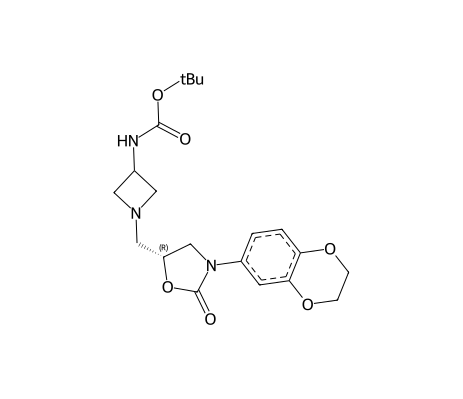 CC(C)(C)OC(=O)NC1CN(C[C@@H]2CN(c3ccc4c(c3)OCCO4)C(=O)O2)C1